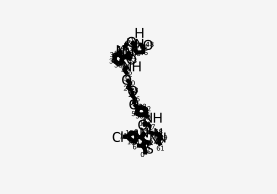 Cc1sc2c(c1C)C(c1ccc(Cl)cc1)=N[C@@H](CC(=O)Nc1ccc(OCCOCCOCCNc3cccc4nc(C)n(C5CCC(=O)NC5=O)c(=O)c34)cc1)c1nnc(C)n1-2